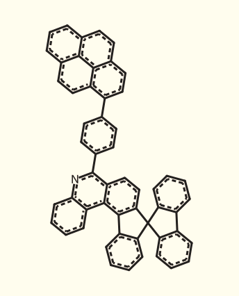 c1ccc2c(c1)-c1ccccc1C21c2ccccc2-c2c1ccc1c(-c3ccc(-c4ccc5ccc6cccc7ccc4c5c67)cc3)nc3ccccc3c21